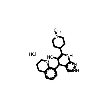 CN1CCC(C2=C(C#N)C(c3cccc4c3OCCC4)c3c[nH]nc3N2)CC1.Cl